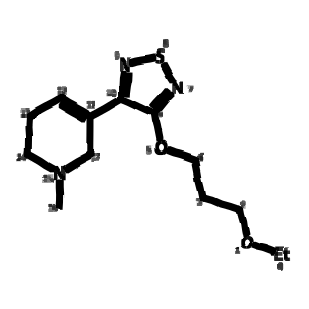 CCOCCCOc1nsnc1C1=CCCN(C)C1